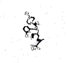 C=C/C(=C\C=C(/C)C(=O)NO)CN(C(=O)N1CCN(CC)CC1)c1cccc(C(F)(F)F)n1